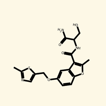 Cc1ncc(COc2ccc3oc(C)c(C(=O)NC(CO)C(N)=O)c3c2)s1